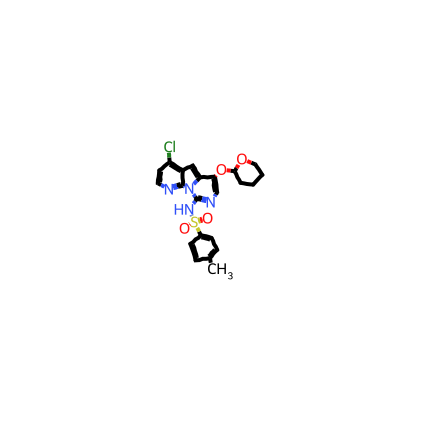 Cc1ccc(S(=O)(=O)Nc2ncc(OC3CCCCO3)c3cc4c(Cl)ccnc4n23)cc1